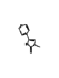 Cn1cc(-c2ccncc2)[nH]c1=O